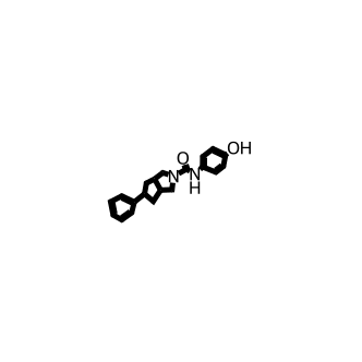 O=C(Nc1ccc(O)cc1)N1CC2CC(c3ccccc3)CC2C1